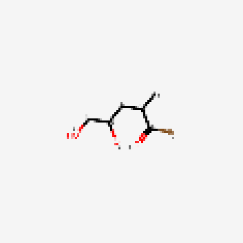 CC(CC(O)CO)C(=O)Br